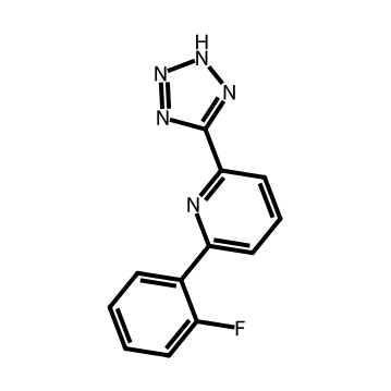 Fc1ccccc1-c1cccc(-c2nn[nH]n2)n1